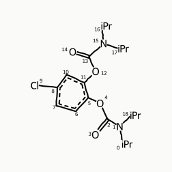 CC(C)N(C(=O)Oc1ccc(Cl)cc1OC(=O)N(C(C)C)C(C)C)C(C)C